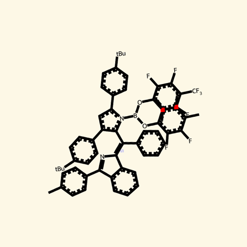 Cc1ccc(C2=N/C(=C(/c3ccccc3)c3c(-c4ccc(C(C)(C)C)cc4)cc(-c4ccc(C(C)(C)C)cc4)n3B(Oc3c(F)c(F)c(C)c(F)c3F)Oc3c(F)c(F)c(C(F)(F)F)c(F)c3F)c3ccccc32)cc1